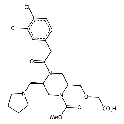 COC(=O)N1C[C@@H](CN2CCCC2)N(C(=O)Cc2ccc(Cl)c(Cl)c2)C[C@H]1COCC(=O)O